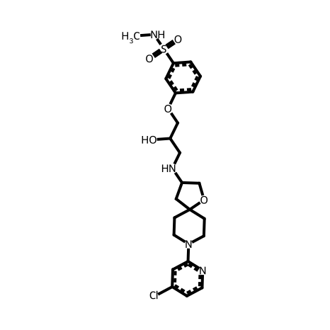 CNS(=O)(=O)c1cccc(OCC(O)CNC2COC3(CCN(c4cc(Cl)ccn4)CC3)C2)c1